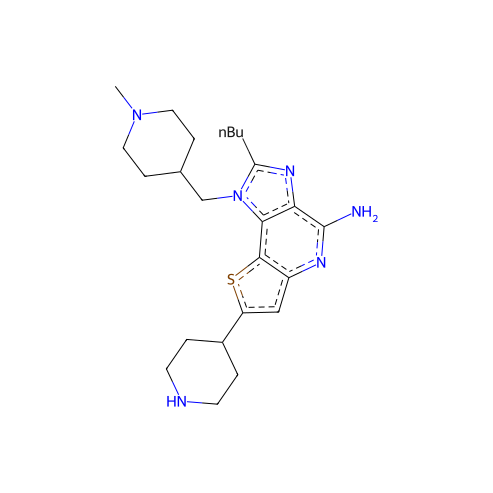 CCCCc1nc2c(N)nc3cc(C4CCNCC4)sc3c2n1CC1CCN(C)CC1